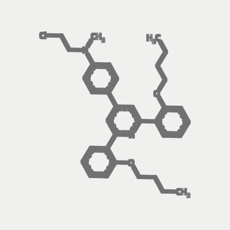 CCCCOc1ccccc1-c1cc(-c2ccc(N(C)CCCl)cc2)cc(-c2ccccc2OCCCC)n1